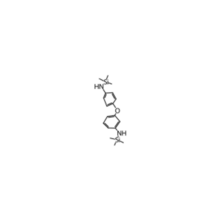 C[Si](C)(C)Nc1ccc(Oc2cccc(N[Si](C)(C)C)c2)cc1